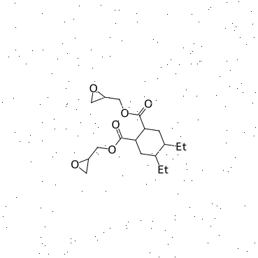 CCC1CC(C(=O)OCC2CO2)C(C(=O)OCC2CO2)CC1CC